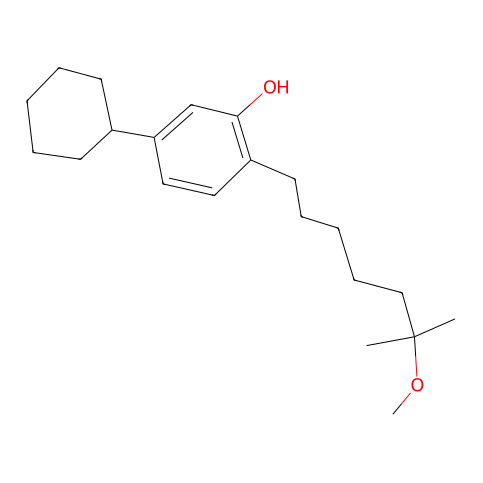 COC(C)(C)CCCCCc1ccc(C2CCCCC2)cc1O